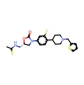 CC(=S)NC[C@H]1CN(c2ccc(C3CCN(Cc4cccs4)CC3)c(F)c2)C(=O)O1